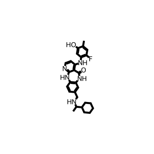 Cc1cc(F)c(Nc2ccnc3c2C(=O)Nc2cc(CNC(C)C4CCCCC4)ccc2N3)cc1O